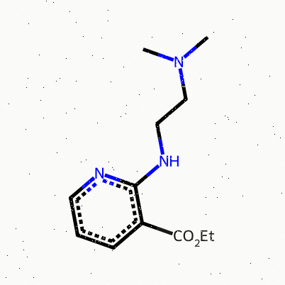 CCOC(=O)c1cccnc1NCCN(C)C